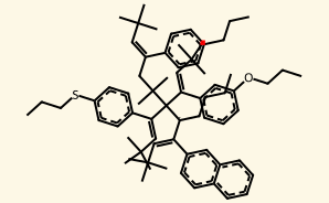 CCCC[C](C(=CC(C)(C)C)c1ccc2ccccc2c1)C(C(=CC(C)(C)C)c1ccc(SCCC)cc1)(C(=CC(C)(C)C)c1cccc(OCCC)c1)C(C)(C)CC(=CC(C)(C)C)c1ccc(CCC)cc1